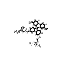 C[As](C)CCCc1ccc(C2(c3ccc(CCC[As](C)C)cc3)c3cc(Br)ccc3-c3ccc(Br)cc32)cc1